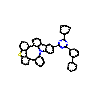 c1ccc(-c2cccc(-c3nc(-c4ccccc4)nc(-c4ccc5c(c4)c4cccc6c7cccc8sc9cccc(c%10ccccc%10n5c64)c9c87)n3)c2)cc1